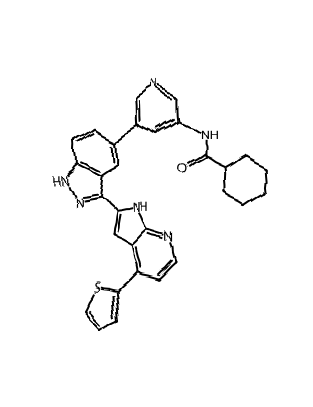 O=C(Nc1cncc(-c2ccc3[nH]nc(-c4cc5c(-c6cccs6)ccnc5[nH]4)c3c2)c1)C1CCCCC1